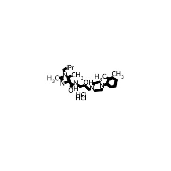 Cc1cccc(N2CCN(CC(O)CNC(=O)c3nc(C)n(CC(C)C)c3C)CC2)c1C.Cl.Cl